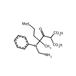 CSCCC(C)(C(=O)C(C(=O)O)C(=O)O)N(CN)c1ccccc1